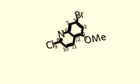 COc1cc(Br)cc2nc(Cl)ccc12